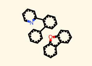 c1ccc(-c2ccccc2-c2ccccn2)cc1.c1ccc2c(c1)oc1ccccc12